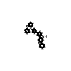 c1ccc2c(c1)Sc1ccccc1N2c1ccc(-c2ccc3[nH]c4cc5c(cc4c3c2)sc2ccccc25)cc1